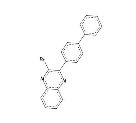 Brc1nc2ccccc2nc1-c1ccc(-c2ccccc2)cc1